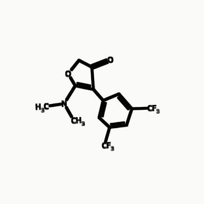 CN(C)C1=C(c2cc(C(F)(F)F)cc(C(F)(F)F)c2)C(=O)CO1